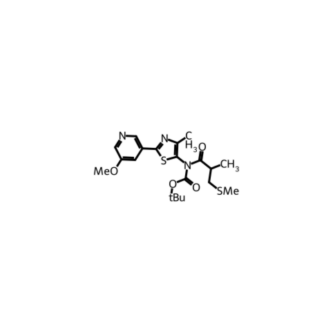 COc1cncc(-c2nc(C)c(N(C(=O)OC(C)(C)C)C(=O)C(C)CSC)s2)c1